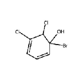 OC1(Br)C=CC=C(Cl)C1Cl